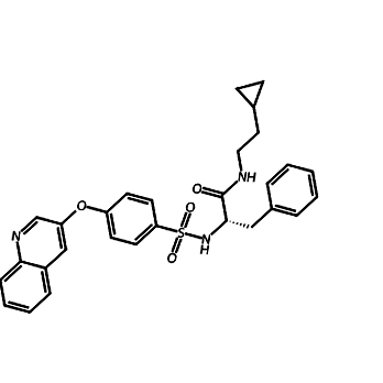 O=C(NCCC1CC1)[C@H](Cc1ccccc1)NS(=O)(=O)c1ccc(Oc2cnc3ccccc3c2)cc1